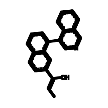 C/C=C(\O)c1ccc2cccc(-c3cncc4ccccc34)c2c1